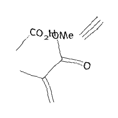 C#C.C=C(C)C(=O)OC.CC(=O)O